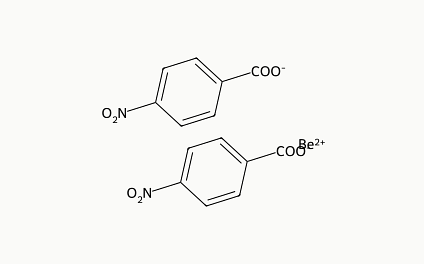 O=C([O-])c1ccc([N+](=O)[O-])cc1.O=C([O-])c1ccc([N+](=O)[O-])cc1.[Be+2]